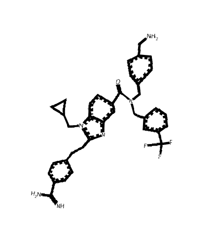 N=C(N)c1ccc(CCc2nc3cc(C(=O)N(Cc4ccc(CN)cc4)Cc4cccc(C(F)(F)F)c4)ccc3n2CC2CC2)cc1